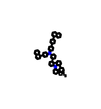 CC1C=C(n2c3cccc(-c4cccc(N(c5ccc(-c6ccc(-c7cccc8ccccc78)cc6)cc5)c5ccc(-c6cccc7ccccc67)cc5)c4)c3c3cccc(-c4ccccc4)c32)C=CC1